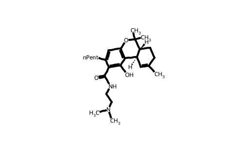 CCCCCc1cc2c(c(O)c1C(=O)NCCN(C)C)[C@@H]1C=C(C)CC[C@H]1C(C)(C)O2